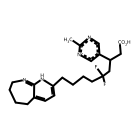 Cc1ncc(C(CC(=O)O)CC(F)(F)CCCCC2=CC=C3CCCCN=C3N2)cn1